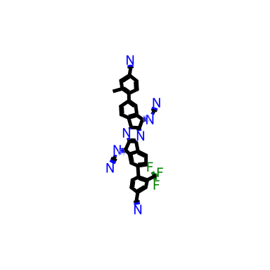 Cc1cc(C#N)ccc1-c1ccc2c(c1)/c(=N\C#N)c1nc3c(nc12)/c(=N/C#N)c1cc(-c2ccc(C#N)cc2C(F)(F)F)ccc13